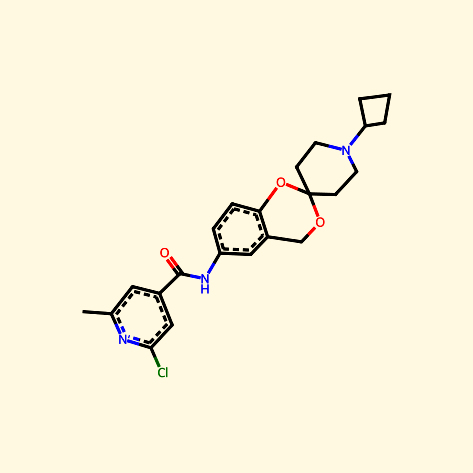 Cc1cc(C(=O)Nc2ccc3c(c2)COC2(CCN(C4CCC4)CC2)O3)cc(Cl)n1